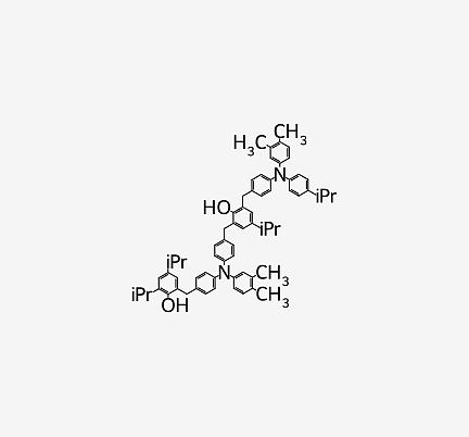 Cc1ccc(N(c2ccc(Cc3cc(C(C)C)cc(Cc4ccc(N(c5ccc(C(C)C)cc5)c5ccc(C)c(C)c5)cc4)c3O)cc2)c2ccc(Cc3cc(C(C)C)cc(C(C)C)c3O)cc2)cc1C